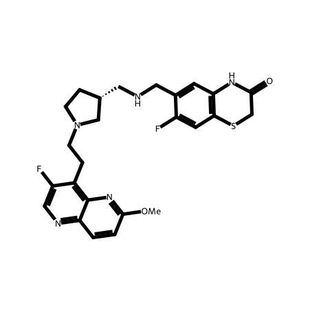 COc1ccc2ncc(F)c(CCN3CC[C@H](CNCc4cc5c(cc4F)SCC(=O)N5)C3)c2n1